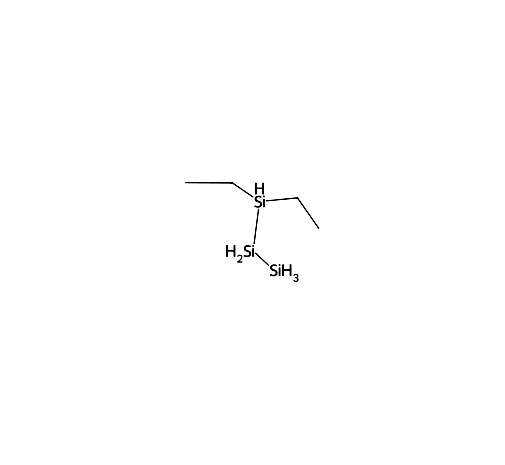 CC[SiH](CC)[SiH2][SiH3]